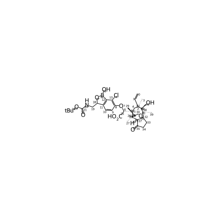 C=C[C@]1(C)C[C@@H](C(Oc2ccc3c(c2Cl)B(O)OC3CNC(=O)OC(C)(C)C)C(=O)O)[C@@]2(C)[C@H](C)CC[C@]3(CCC(=O)[C@H]32)[C@@H](C)[C@@H]1O